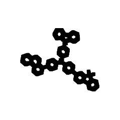 CC1(C)c2ccccc2-c2ccc(-c3ccc(N(c4ccc(-c5cccc6c5ccc5ccccc56)cc4)c4ccc(-n5c6ccccc6c6ccccc65)cc4)cc3)cc21